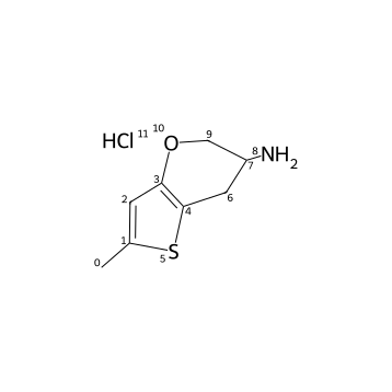 Cc1cc2c(s1)CC(N)CO2.Cl